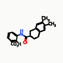 Cc1cc2c(cc1C)CC(C(=O)Nc1ccccc1C(=O)O)CC2